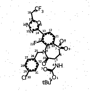 CC(C)(C)OC(=O)N[C@H]1CS(=O)(=O)c2ccc(-c3nnc(CC(F)(F)F)o3)c(F)c2N(Cc2ccc(Cl)cc2)C1=O